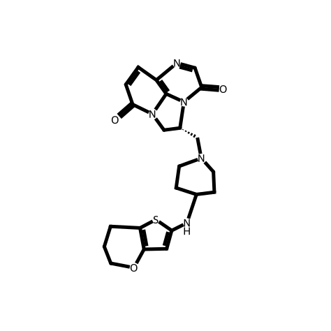 O=c1ccc2ncc(=O)n3c2n1C[C@H]3CN1CCC(Nc2cc3c(s2)CCCO3)CC1